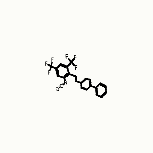 O=C=Nc1cc(C(F)(F)F)cc(C(F)(F)F)c1CCc1ccc(-c2ccccc2)cc1